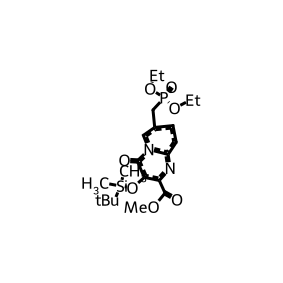 CCOP(=O)(Cc1ccc2nc(C(=O)OC)c(O[Si](C)(C)C(C)(C)C)c(=O)n2c1)OCC